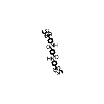 C=CC(OC(=O)c1ccc(NC(=O)c2ccc(C(=O)Nc3ccc(C(=O)OC(C=C)[SiH](C)C)cc3)cc2)cc1)[SiH](C)C